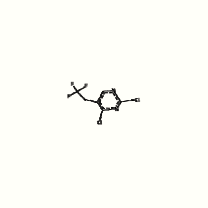 FC(F)(F)Cc1cnc(Cl)nc1Cl